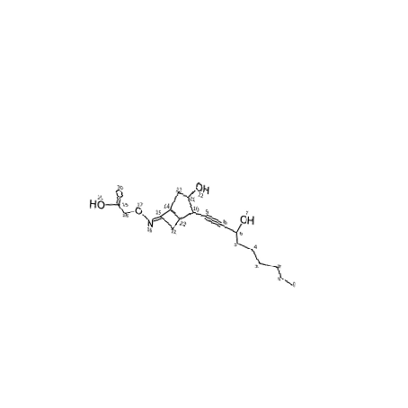 CCCCCCC(O)C#CC1C(O)CC2/C(=N\OCC(=O)O)CC21